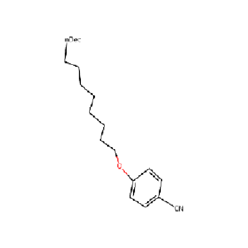 CCCCCCCCCCCCCCCCCCOc1ccc(C#N)cc1